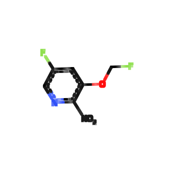 O=[N+]([O-])c1ncc(F)cc1OCF